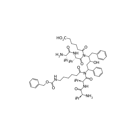 CC(C)[C@H](N)C(=O)N[C@H](C(=O)N(C(=O)CCCCCNC(=O)OCc1ccccc1)C(CC(O)C(Cc1ccccc1)N(C(=O)CCCCC(=O)O)C(=O)[C@@H](NC(=O)[C@@H](N)C(C)C)C(C)C)c1ccccc1)C(C)C